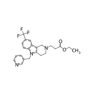 CCOC(=O)CCN1CCc2c(c3cc(C(F)(F)F)ccc3n2Cc2cccnc2)C1